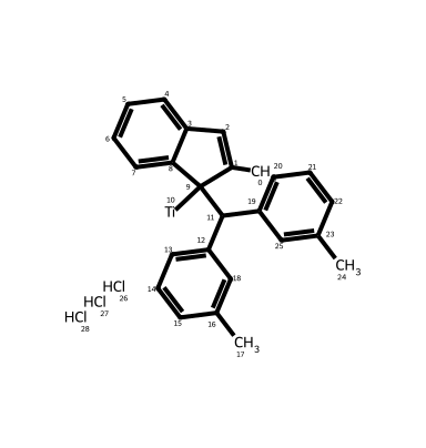 CC1=Cc2ccccc2[C]1([Ti])C(c1cccc(C)c1)c1cccc(C)c1.Cl.Cl.Cl